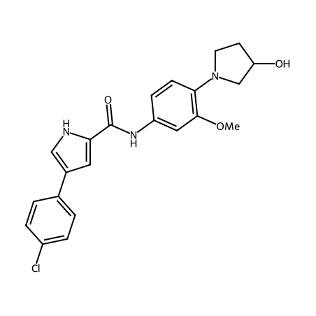 COc1cc(NC(=O)c2cc(-c3ccc(Cl)cc3)c[nH]2)ccc1N1CCC(O)C1